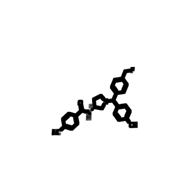 N#Cc1ccc(C(=O)N[C@@H]2CCN(C(c3ccc(C#N)cc3)c3ccc(CF)cc3)C2)cc1